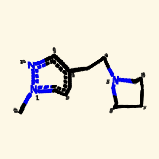 Cn1cc(CN2CCC2)cn1